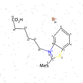 CSc1sc2ccccc2[n+]1CCCCCC(=O)O.[Br-]